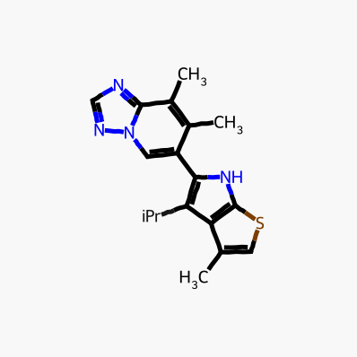 Cc1c(-c2[nH]c3scc(C)c3c2C(C)C)cn2ncnc2c1C